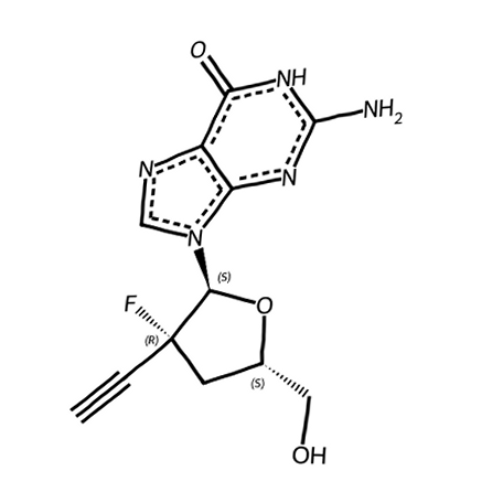 C#C[C@]1(F)C[C@@H](CO)O[C@@H]1n1cnc2c(=O)[nH]c(N)nc21